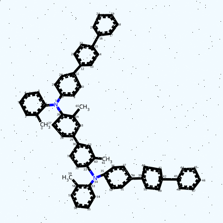 Cc1ccccc1N(c1ccc(-c2ccc(-c3ccccc3)cc2)cc1)c1ccc(-c2ccc(N(c3ccc(-c4ccc(-c5ccccc5)cc4)cc3)c3ccccc3C)c(C)c2)cc1C